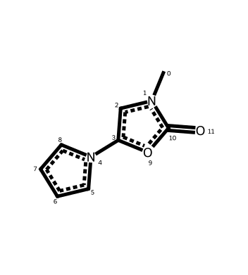 Cn1cc(-n2cccc2)oc1=O